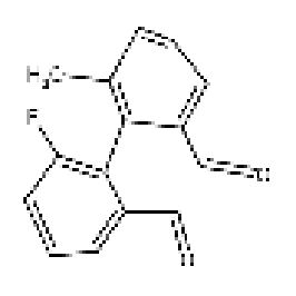 Cc1cccc(C=O)c1-c1c(F)cccc1C=O